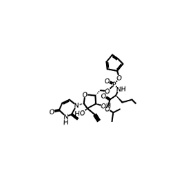 C#C[C@@]1(O)[C@H](O)[C@@H](COP(=O)(N[C@@H](CCC)C(=O)OC(C)C)Oc2ccccc2)O[C@H]1N1C=CC(=O)NC1=C